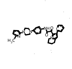 Cc1cccc(N2CCN(c3ccc(NC(=O)C(=O)c4c(-c5ccccc5)cc5n4CCCC5)cc3)CC2)n1